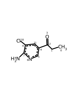 CCC(=O)c1cnc(N)c(Cl)c1